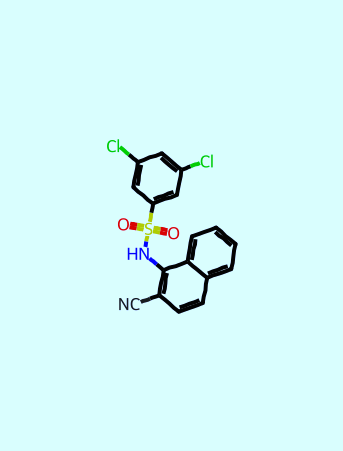 N#Cc1ccc2ccccc2c1NS(=O)(=O)c1cc(Cl)cc(Cl)c1